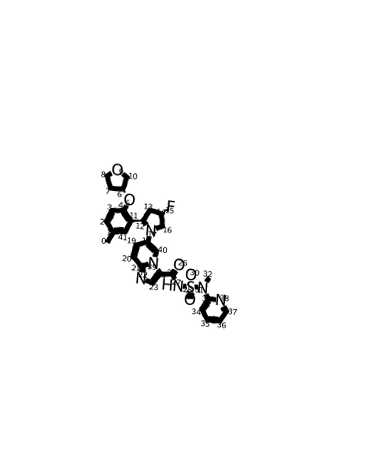 Cc1ccc(O[C@@H]2CCOC2)c([C@H]2C[C@H](F)CN2c2ccc3ncc(C(=O)NS(=O)(=O)N(C)c4ccccn4)n3c2)c1